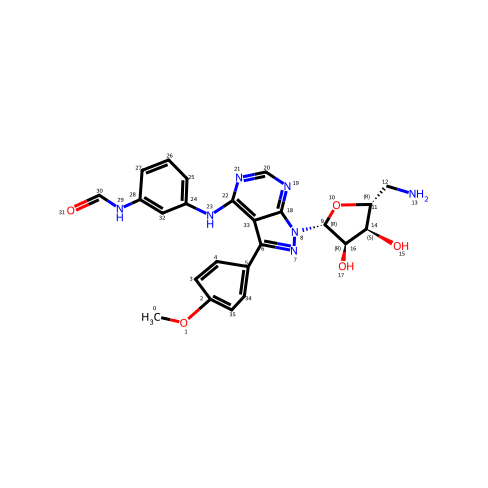 COc1ccc(-c2nn([C@@H]3O[C@H](CN)[C@@H](O)[C@H]3O)c3ncnc(Nc4cccc(NC=O)c4)c23)cc1